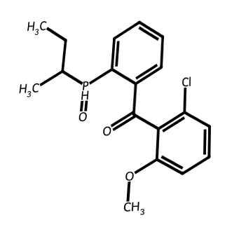 CCC(C)[PH](=O)c1ccccc1C(=O)c1c(Cl)cccc1OC